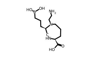 NCCN1CCC[C@@H](C(=O)O)NC[C@H]1CCCB(O)O